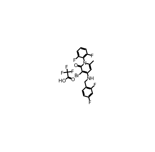 Cc1cc(NCc2ccc(F)cc2F)c(Br)c(=O)n1-c1c(F)cccc1F.O=C(O)C(F)(F)F